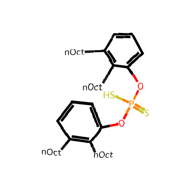 CCCCCCCCc1cccc(OP(=S)(S)Oc2cccc(CCCCCCCC)c2CCCCCCCC)c1CCCCCCCC